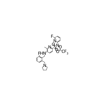 Cc1nc(S(=O)(=O)N(OC(=O)C(F)(F)F)c2cccc(F)n2)ccc1NCc1c(F)cccc1CN1CCCC1